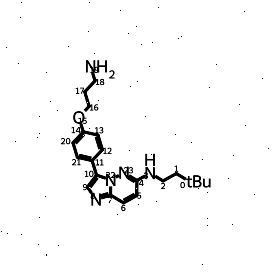 CC(C)(C)CCNc1ccc2ncc(-c3ccc(OCCCN)cc3)n2n1